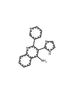 Nc1c(-c2ncc[nH]2)c(-c2cccnc2)nc2ccccc12